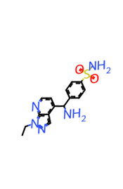 CCn1ncc2c(C(N)c3ccc(S(N)(=O)=O)cc3)ccnc21